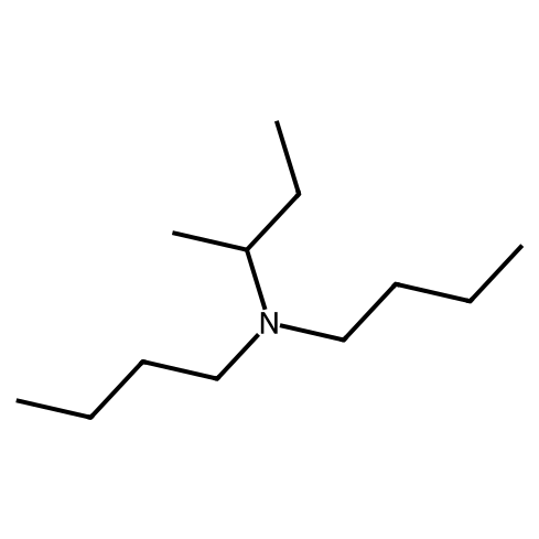 CCCCN(CCCC)C(C)CC